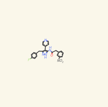 O=C(Cc1cccc([N+](=O)[O-])c1)Nc1[nH]nc(Cc2ccc(F)cc2)c1-c1ccncc1